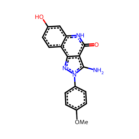 COc1ccc(-n2nc3c(c2N)c(=O)[nH]c2cc(O)ccc23)cc1